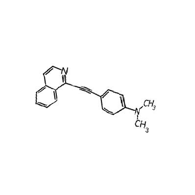 CN(C)c1ccc(C#Cc2nccc3ccccc23)cc1